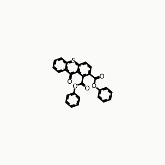 O=C(Oc1ccccc1)c1ccc2sc3ccccc3c(=O)c2c1C(=O)Oc1ccccc1